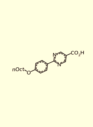 CCCCCCCCOc1ccc(-c2ncc(C(=O)O)cn2)cc1